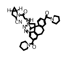 N#CC1C[C@@H]2C[C@@H]2N1C(=O)CNCCC1(c2nnn[nH]2)c2ccc(C(=O)N3CCCCC3)cc2CCc2cc(C(=O)N3CCCCC3)ccc21